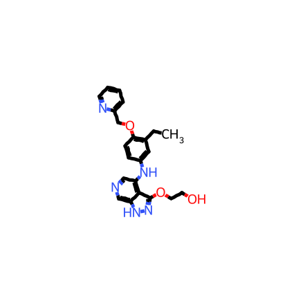 CCc1cc(Nc2cncc3[nH]nc(OCCO)c23)ccc1OCc1ccccn1